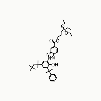 CCO[Si](CC)(CCCOC(=O)c1ccc2nn(-c3cc(C(C)(C)CC(C)(C)C)cc(C(C)(C)c4ccccc4)c3O)nc2c1)OCC